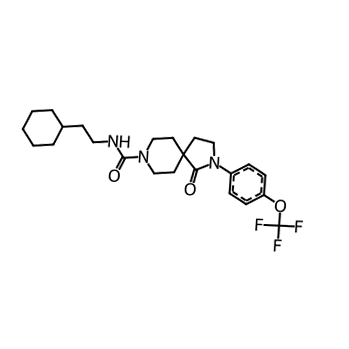 O=C(NCCC1CCCCC1)N1CCC2(CC1)CCN(c1ccc(OC(F)(F)F)cc1)C2=O